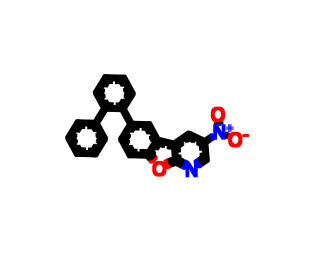 O=[N+]([O-])c1cnc2oc3ccc(-c4ccccc4-c4ccccc4)cc3c2c1